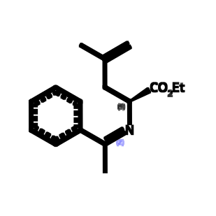 C=C(C)C[C@H](/N=C(/C)c1ccccc1)C(=O)OCC